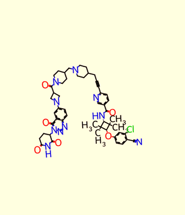 CC1(C)[C@H](NC(=O)c2ccc(C#CCC3CCN(CC4CCN(C(=O)C5CN(c6ccc7nnn(C8CCC(=O)NC8=O)c(=O)c7c6)C5)CC4)CC3)nc2)C(C)(C)[C@H]1Oc1ccc(C#N)c(Cl)c1